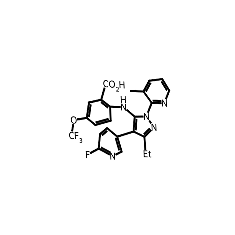 CCc1nn(-c2ncccc2C)c(Nc2ccc(OC(F)(F)F)cc2C(=O)O)c1-c1ccc(F)nc1